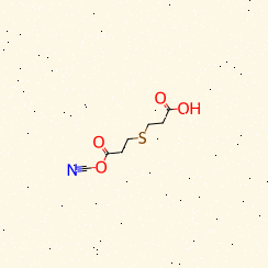 N#COC(=O)CCSCCC(=O)O